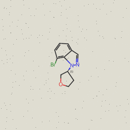 Brc1cccc2cnn([C@H]3CCOC3)c12